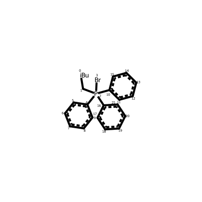 CCC(C)CP(Br)(c1ccccc1)(c1ccccc1)c1ccccc1